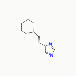 C1=NC=NC1/C=C/C1CCCCC1